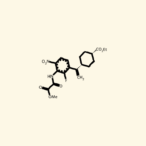 C=C(c1ccc([N+](=O)[O-])c(NC(=O)C(=O)OC)c1F)[C@H]1CC[C@@H](C(=O)OCC)CC1